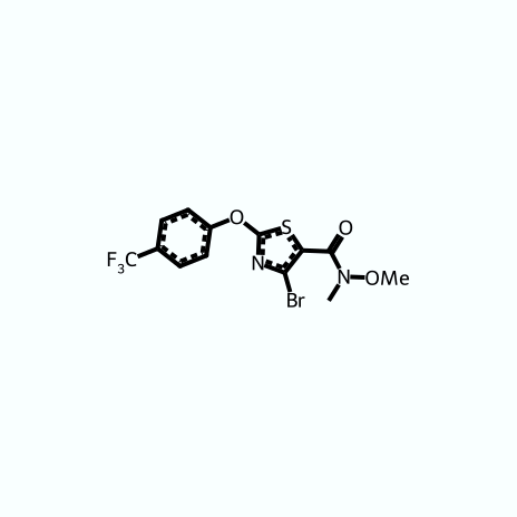 CON(C)C(=O)c1sc(Oc2ccc(C(F)(F)F)cc2)nc1Br